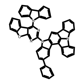 c1ccc(-c2ccc3c(c2)c2c4c5ccccc5n5c6ccccc6c(cc2n3-c2nc(-n3c6ccccc6c6ccccc63)c3c(n2)oc2ccccc23)c45)cc1